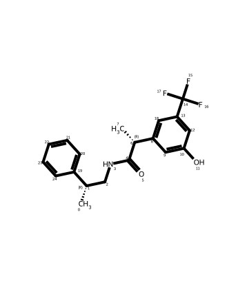 C[C@@H](CNC(=O)[C@H](C)c1cc(O)cc(C(F)(F)F)c1)c1ccccc1